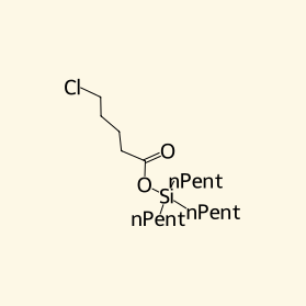 CCCCC[Si](CCCCC)(CCCCC)OC(=O)CCCCCl